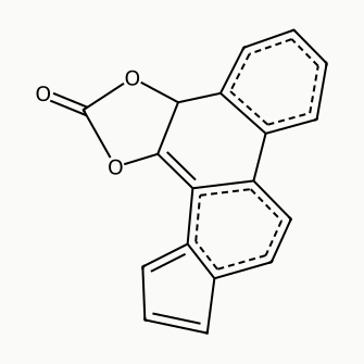 O=C1OC2=c3c(ccc4c3=CC=C4)-c3ccccc3C2O1